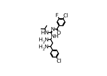 CC(C)N/C(=N/C(=O)c1ccc(Cl)c(F)c1)NC(N)CC(N)c1ccc(Cl)cc1